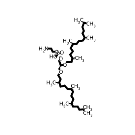 CC(C)CCC[C@@H](C)CCC[C@@H](C)CCC[C@@H](C)CCOC[C@@H](COP(=O)(O)OCCN)OCC[C@H](C)CCC[C@H](C)CCC[C@H](C)CCCC(C)C